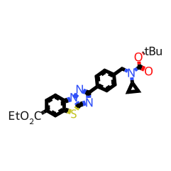 CCOC(=O)c1ccc2c(c1)sc1nc(-c3ccc(CN(C(=O)OC(C)(C)C)C4CC4)cc3)nn12